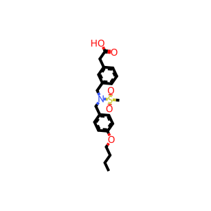 CCCCOc1ccc(CN(Cc2cccc(CC(=O)O)c2)S(C)(=O)=O)cc1